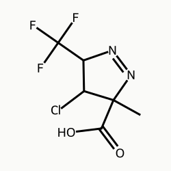 CC1(C(=O)O)N=NC(C(F)(F)F)C1Cl